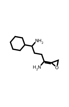 NC(CCC(N)C1CCCCC1)=C1CO1